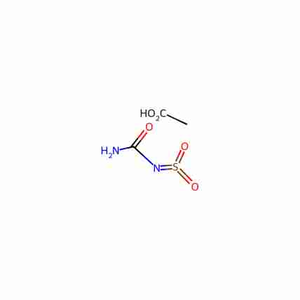 CC(=O)O.NC(=O)N=S(=O)=O